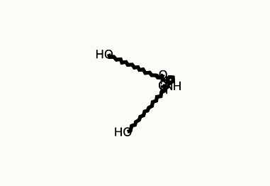 O=C(/C=C/CCCCCCCCCCCCCCCO)N[C@H]1CCC[C@H]1NC(=O)/C=C/CCCCCCCCCCCCCCCO